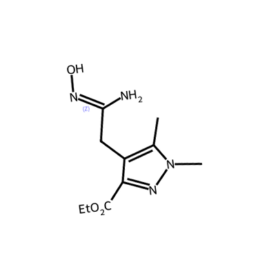 CCOC(=O)c1nn(C)c(C)c1C/C(N)=N/O